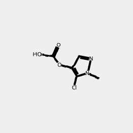 Cn1ncc(OC(=O)O)c1Cl